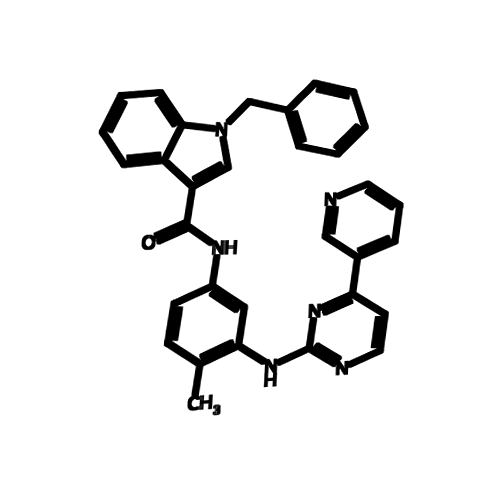 Cc1ccc(NC(=O)c2cn(Cc3ccccc3)c3ccccc23)cc1Nc1nccc(-c2cccnc2)n1